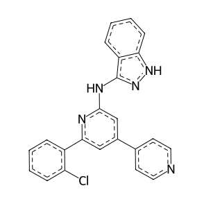 Clc1ccccc1-c1cc(-c2ccncc2)cc(Nc2n[nH]c3ccccc23)n1